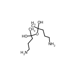 CC(O)(CCCN)OC(C)(O)CCCN